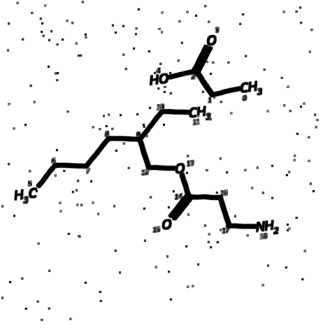 CCC(=O)O.CCCCC(CC)COC(=O)CCN